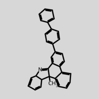 CC12C(=NC3C=CC=CC31)c1cc(-c3ccc(-c4ccccc4)cc3)ccc1-c1ccccc12